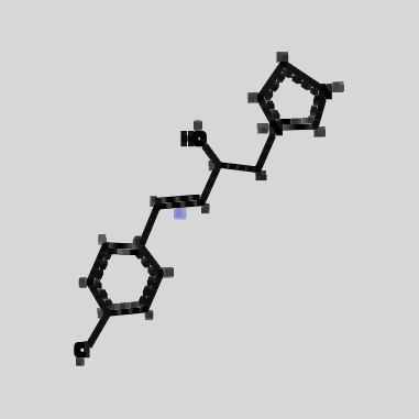 OC(/C=C/c1ccc(Cl)cc1)Cn1ccnc1